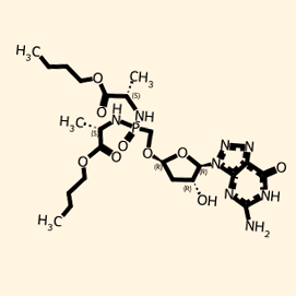 CCCCOC(=O)[C@H](C)NP(=O)(CO[C@@H]1C[C@@H](O)[C@H](n2nnc3c(=O)[nH]c(N)nc32)O1)N[C@@H](C)C(=O)OCCCC